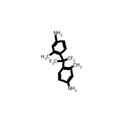 Cc1cc(N)ccc1C(c1ccc(N)cc1C)(C(F)(F)F)C(F)(F)F